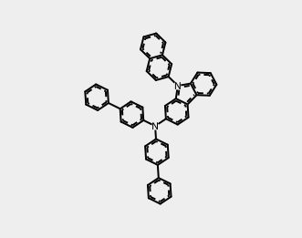 c1ccc(-c2ccc(N(c3ccc(-c4ccccc4)cc3)c3ccc4c5ccccc5n(-c5ccc6ccccc6c5)c4c3)cc2)cc1